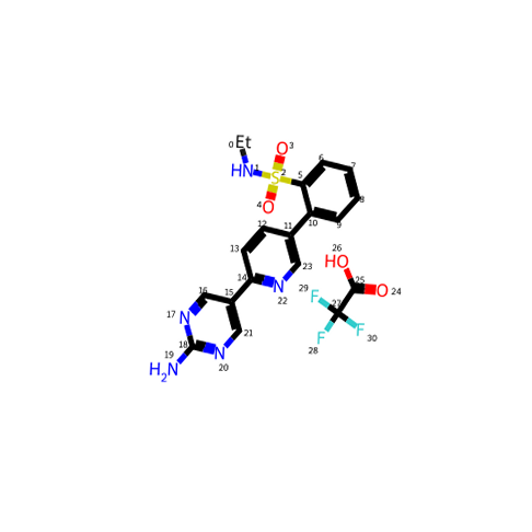 CCNS(=O)(=O)c1ccccc1-c1ccc(-c2cnc(N)nc2)nc1.O=C(O)C(F)(F)F